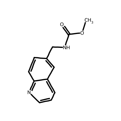 COC(=O)NCc1ccc2ncccc2c1